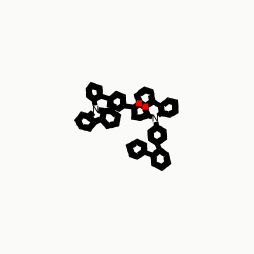 c1ccc(-c2ccccc2-c2ccc(N(c3ccc(-c4ccc(-c5ccccc5-n5c6ccccc6c6ccccc65)cc4)cc3)c3ccccc3-c3ccccc3)cc2)cc1